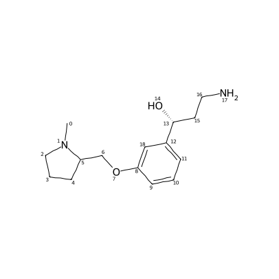 CN1CCCC1COc1cccc([C@H](O)CCN)c1